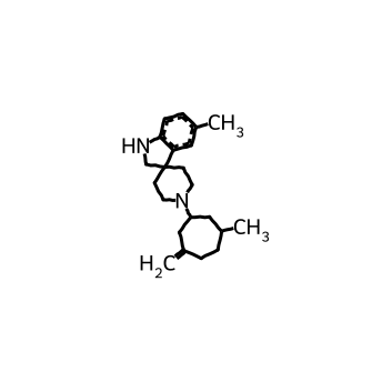 C=C1CCC(C)CC(N2CCC3(CC2)CNc2ccc(C)cc23)C1